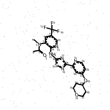 CC(=O)N(C)c1cc(C(F)(F)F)cnc1Nc1nc(-c2cc(OC3CCOCC3)ccn2)ns1